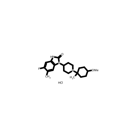 COC1CCC(C)(N2CCC(n3c(=O)[nH]c4cc(F)c(C)cc43)CC2)CC1.Cl